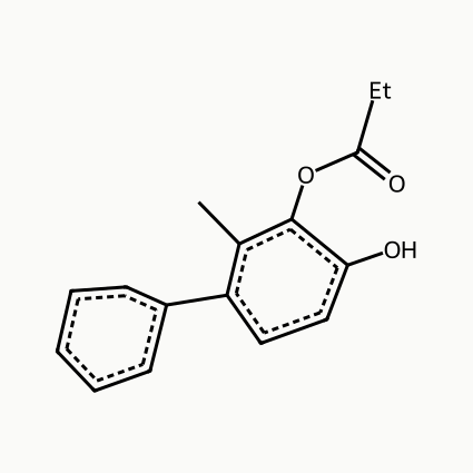 CCC(=O)Oc1c(O)ccc(-c2ccccc2)c1C